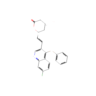 O=C1C[C@H](O)C[C@@H](/C=C/c2cnc3cc(Cl)ccc3c2Sc2ccccc2)O1